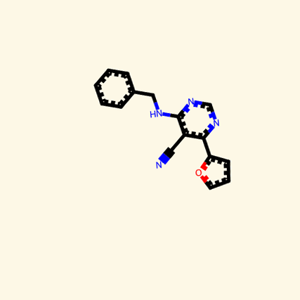 N#Cc1c(NCc2ccccc2)ncnc1-c1ccco1